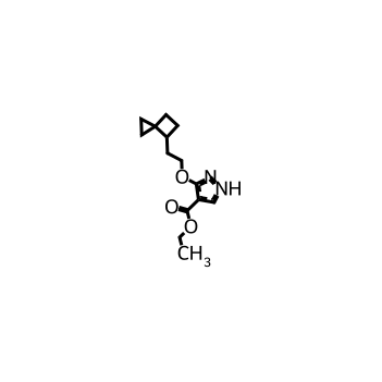 CCOC(=O)c1c[nH]nc1OCCC1CCC12CC2